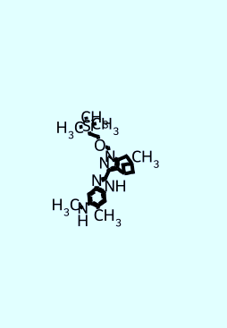 CNc1cc2nc(-c3nn(COCC[Si](C)(C)C)c4c3C3CC(C)(C4)C3)[nH]c2cc1C